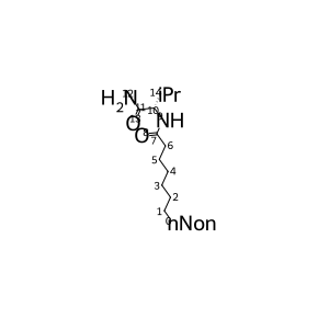 CCCCCCCCCCCCCCCC(=O)N[C@H](C(N)=O)C(C)C